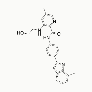 Cc1cnc(C(=O)Nc2ccc(-c3cn4cccc(C)c4n3)cc2)c(NCCO)c1